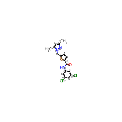 Cc1cc(C)n(Cc2ccc(C(=O)Nc3cc(Cl)cc(Cl)c3)s2)n1